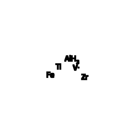 [AlH3].[Fe].[Ti].[V].[Zr]